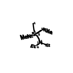 CCN(CC)[Si](C)(NC)NC